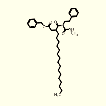 CCCCCCCCCCCCCCCCC(CC(=O)OCc1ccccc1)C(=O)N(CCc1ccccc1)C(=O)NC